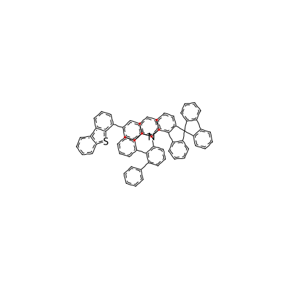 c1ccc(-c2ccccc2-c2c(-c3ccccc3)cccc2N(c2ccc(-c3cccc4c3sc3ccccc34)cc2)c2cccc3c2-c2ccccc2C32c3ccccc3-c3ccccc32)cc1